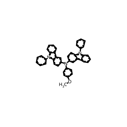 COc1ccc(N(c2ccc3c(c2)c2ccccc2n3-c2ccccc2)c2ccc3c(c2)c2ccccc2n3-c2ccccc2)cc1